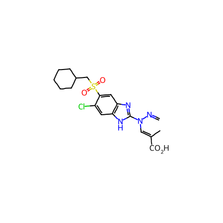 C=NN(/C=C(\C)C(=O)O)c1nc2cc(S(=O)(=O)CC3CCCCC3)c(Cl)cc2[nH]1